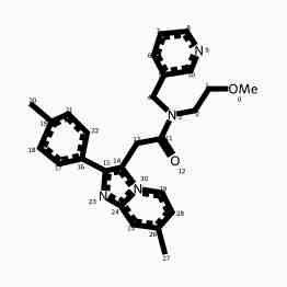 COCCN(Cc1cccnc1)C(=O)Cc1c(-c2ccc(C)cc2)nc2cc(C)ccn12